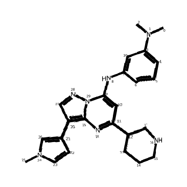 CN(C)c1cccc(Nc2cc(C3CCCNC3)nc3c(-c4ccn(C)c4)cnn23)c1